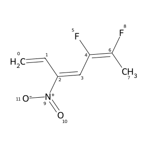 C=C/C(=C\C(F)=C(/C)F)[N+](=O)[O-]